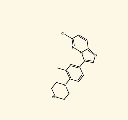 Cc1cc(-c2cnc3ccc(Cl)nn23)ccc1N1CCNCC1